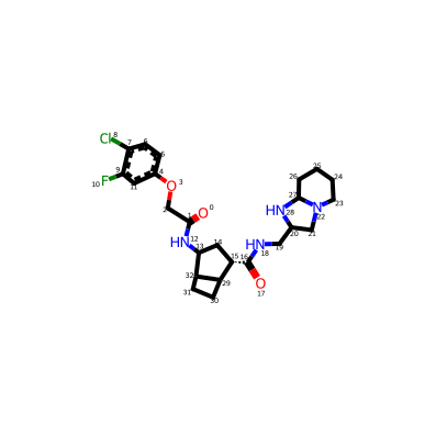 O=C(COc1ccc(Cl)c(F)c1)NC1C[C@H](C(=O)NCC2CN3CCCCC3N2)C2CCC12